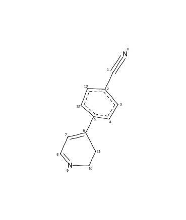 N#Cc1ccc(C2=CC=NCC2)cc1